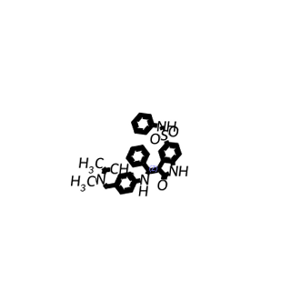 CC(C)N(C)Cc1ccc(N/C(=C2\C(=O)Nc3ccc(S(=O)(=O)Nc4ccccc4)cc32)c2ccccc2)cc1